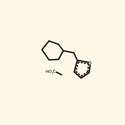 CC(=O)O.c1csc(CC2CCCCC2)c1